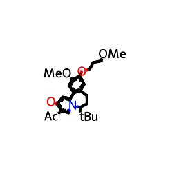 COCCCOc1cc2c(cc1OC)-c1cc(=O)c(C(C)=O)cn1C(C(C)(C)C)CC2